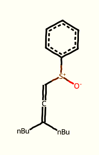 CCCCC(=C=C[S+]([O-])c1ccccc1)CCCC